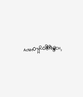 C=CS(=O)(=O)NC[C@H]1CCN(S(=O)(=O)c2ccc(CC(=O)NCc3ccc(NC(C)=O)cc3)cc2)C1